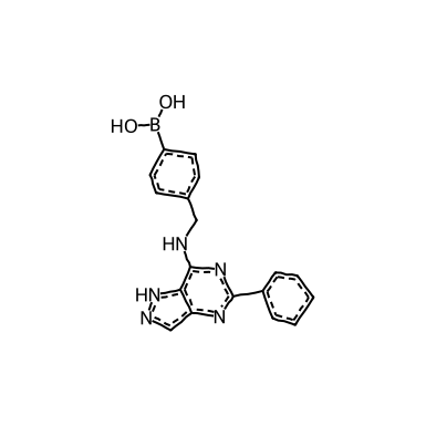 OB(O)c1ccc(CNc2nc(-c3ccccc3)nc3cn[nH]c23)cc1